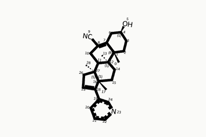 C[C@]12CC[C@H](O)CC1=C(C#N)CC1[C@]2(C)CC[C@]2(C)C(c3cccnc3)=CC[C@@]12C